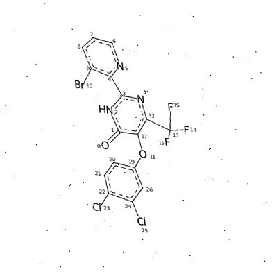 O=c1[nH]c(-c2ncccc2Br)nc(C(F)(F)F)c1Oc1ccc(Cl)c(Cl)c1